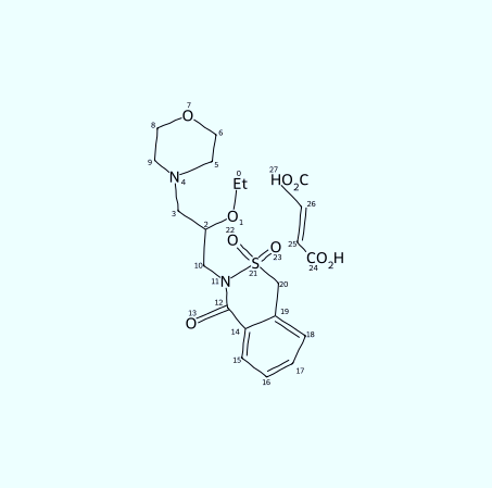 CCOC(CN1CCOCC1)CN1C(=O)c2ccccc2CS1(=O)=O.O=C(O)C=CC(=O)O